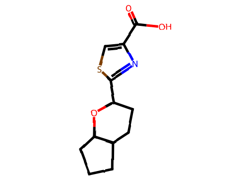 O=C(O)c1csc(C2CCC3CCCC3O2)n1